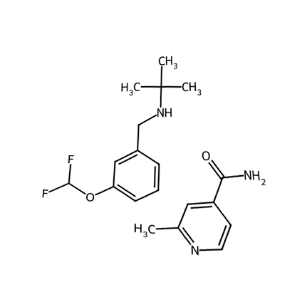 CC(C)(C)NCc1cccc(OC(F)F)c1.Cc1cc(C(N)=O)ccn1